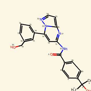 CC(C)(O)c1ccc(C(=O)Nc2cc(-c3cccc(CO)c3)n3nccc3n2)cc1